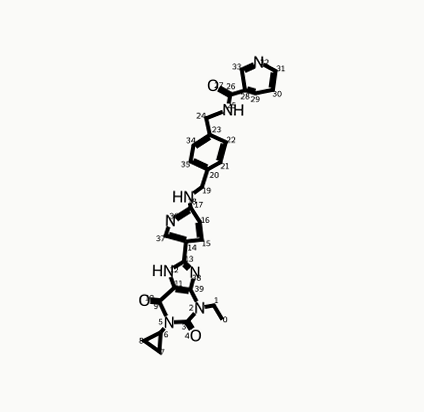 CCn1c(=O)n(C2CC2)c(=O)c2[nH]c(-c3ccc(NCc4ccc(CNC(=O)c5cccnc5)cc4)nc3)nc21